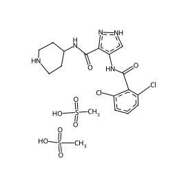 CS(=O)(=O)O.CS(=O)(=O)O.O=C(NC1CCNCC1)c1n[nH]cc1NC(=O)c1c(Cl)cccc1Cl